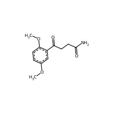 COc1ccc(OC)c(C(=O)CCC(N)=O)c1